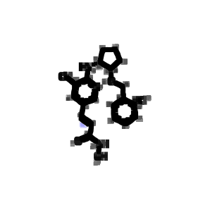 Cl.O=C(/C=C/c1cnc(N[C@@H]2CCC[C@H]2OCc2ccccc2)c(Cl)c1)NO